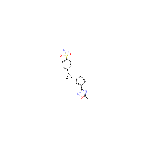 Cc1nc(-c2cccc([C@@H]3C[C@H]3c3ccc(S(N)(=O)=O)cc3)c2)no1